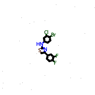 Fc1ccc(-c2csc(Nc3ccc(Br)c(Cl)c3)n2)cc1F